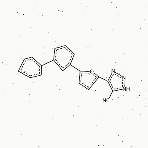 N#Cc1[nH]nnc1-c1ccc(-c2cccc(-c3ccccc3)c2)o1